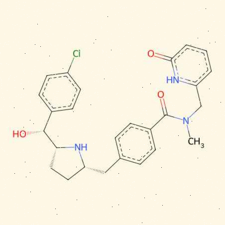 CN(Cc1cccc(=O)[nH]1)C(=O)c1ccc(C[C@@H]2CC[C@H]([C@H](O)c3ccc(Cl)cc3)N2)cc1